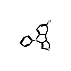 ClC1=CC=C2C(C1)C1CSC=C1N2c1ccccc1